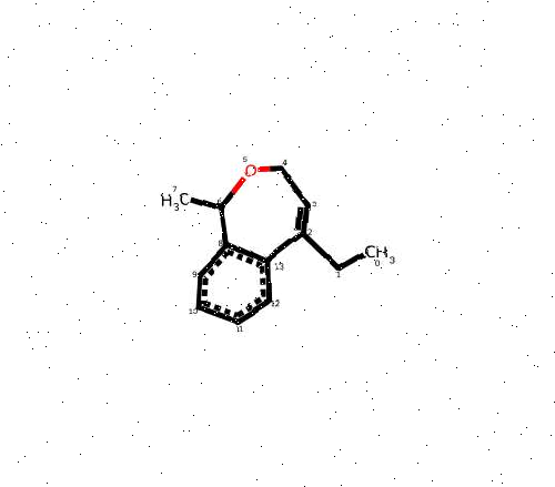 CCC1=CCOC(C)c2ccccc21